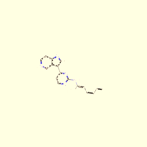 C=C/C=C\C=C(/C)Nc1nccc(-c2c[nH]c3ccncc23)n1